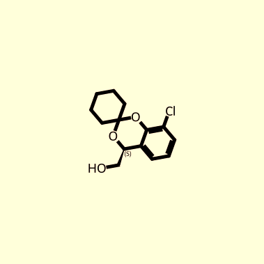 OC[C@H]1OC2(CCCCC2)Oc2c(Cl)cccc21